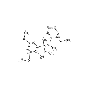 CCC(C)(c1cc(OC)cc(OC)c1O)P(C)c1ccccc1CN